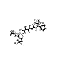 CCCC(NOC[C@@H]1CC(C)(C)CN1C(=O)CNC(=O)OCC(C)C)C(=O)C(=O)NCC(=O)NC(C(=O)N(C)C)c1ccccc1